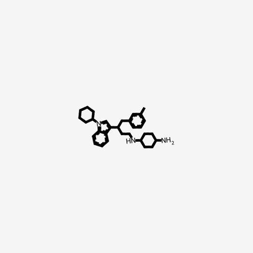 Cc1cccc(CC(CCNC2CCC(N)CC2)c2cn(C3CCCCC3)c3ccccc23)c1